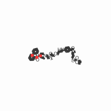 CN(CCN1CCC(N(C(=O)O)c2ccccc2-c2ccccc2)CC1)C(=O)COCCCNc1ccc(C(=O)N(C)CCCN(C)C(=O)OC(C)(C)C)cc1